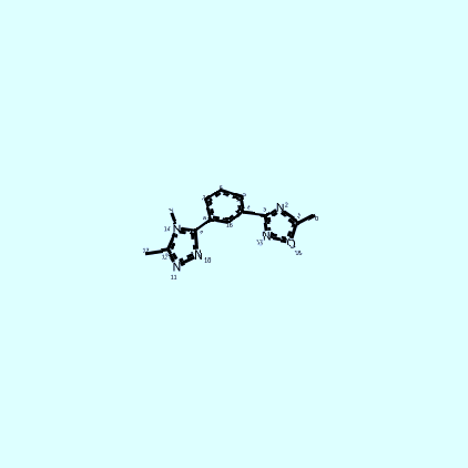 Cc1nc(-c2cccc(-c3nnc(C)n3C)c2)no1